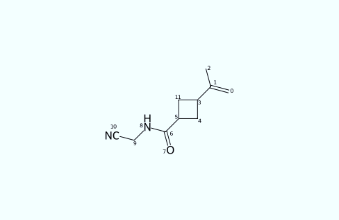 C=C(C)C1CC(C(=O)NCC#N)C1